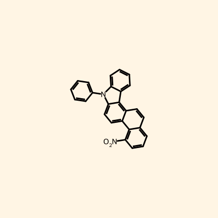 O=[N+]([O-])c1cccc2ccc3c(ccc4c3c3ccccc3n4-c3ccccc3)c12